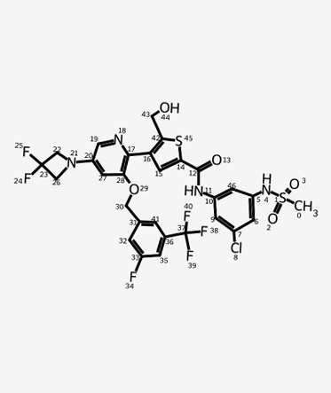 CS(=O)(=O)Nc1cc(Cl)cc(NC(=O)c2cc(-c3ncc(N4CC(F)(F)C4)cc3OCc3cc(F)cc(C(F)(F)F)c3)c(CO)s2)c1